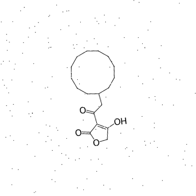 O=C(CC1CCCCCCCCCCC1)C1=C(O)COC1=O